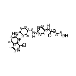 O=C(Nc1cnc(NC[C@H]2CC[C@H](Nc3ccc4ccnc(Cl)c4n3)CC2)nc1)OCCO